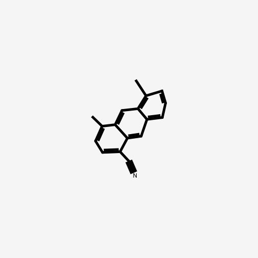 Cc1cccc2cc3c(C#N)ccc(C)c3cc12